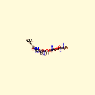 O=C(O)CCCCCCCCCCC(=O)NCC1CCC(C(=O)N[C@@H](CCC(=O)NCCOCCOCC(=O)NCCOCCOCC(=O)NCCNC(=O)CBr)C(=O)O)CC1